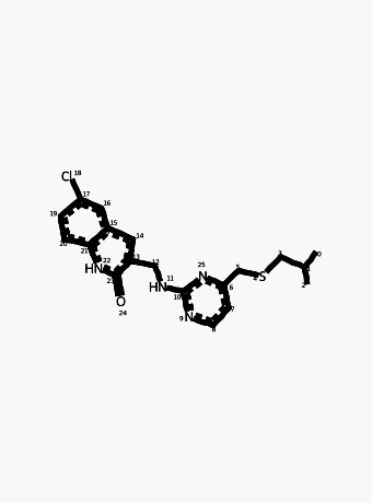 CC(C)CSCc1ccnc(NCc2cc3cc(Cl)ccc3[nH]c2=O)n1